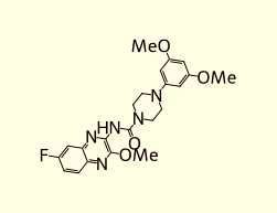 COc1cc(OC)cc(N2CCN(C(=O)Nc3nc4cc(F)ccc4nc3OC)CC2)c1